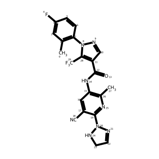 Cc1cc(F)ccc1-n1ncc(C(=O)Nc2cc(C#N)c(N3N=CCN3)nc2C)c1C(F)(F)F